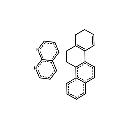 C1=CC2=C(CC1)CCc1c2ccc2ccccc12.c1cnc2ncccc2c1